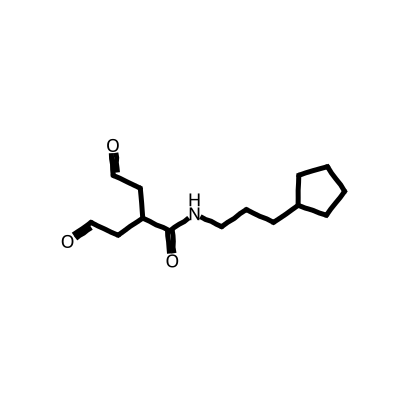 O=CCC(CC=O)C(=O)NCCCC1CCCC1